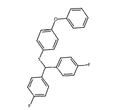 Fc1ccc(C(Sc2ccc(Oc3ccccc3)cc2)c2ccc(F)cc2)cc1